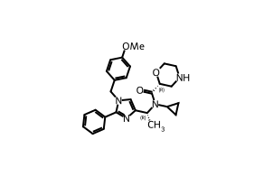 COc1ccc(Cn2cc([C@@H](C)N(C(=O)[C@H]3CNCCO3)C3CC3)nc2-c2ccccc2)cc1